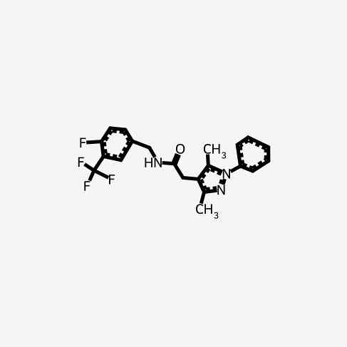 Cc1nn(-c2ccccc2)c(C)c1CC(=O)NCc1ccc(F)c(C(F)(F)F)c1